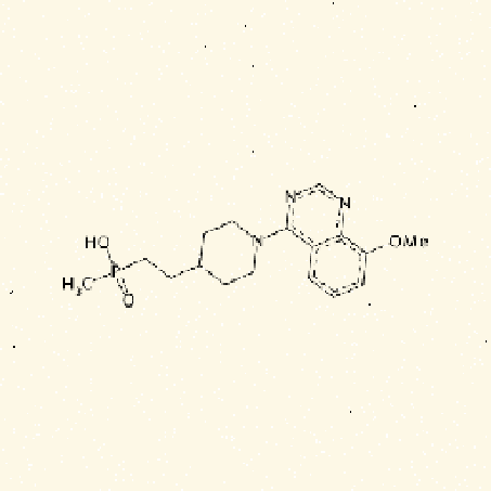 COc1cccc2c(N3CCC(CCP(C)(=O)O)CC3)ncnc12